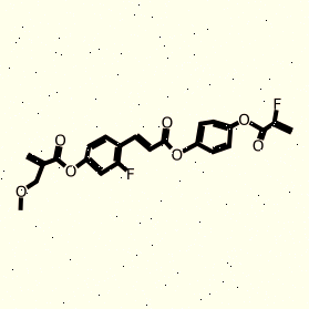 C=C(F)C(=O)Oc1ccc(OC(=O)/C=C/c2ccc(OC(=O)C(=C)COC)cc2F)cc1